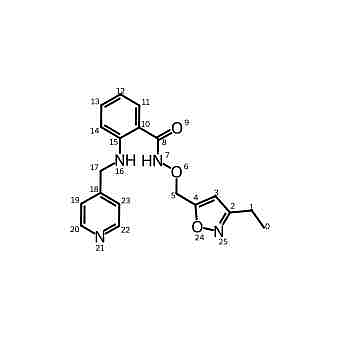 CCc1cc(CONC(=O)c2ccccc2NCc2ccncc2)on1